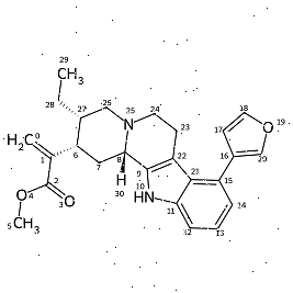 C=C(C(=O)OC)[C@H]1C[C@H]2c3[nH]c4cccc(-c5ccoc5)c4c3CCN2C[C@H]1CC